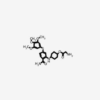 COc1cc(Sc2ccc(C(N)=O)c(NC3CCC(OC(=O)CN)CC3)c2)cc(OC)c1OC